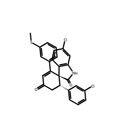 CSc1cccc(C2=CC(=O)C[C@@H](c3cccc(Cl)c3)[C@]23C(=O)Nc2cc(Cl)ccc23)c1